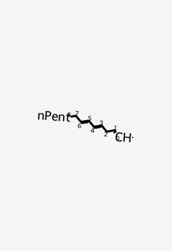 [CH]=CCC=CC=CCCCCCC